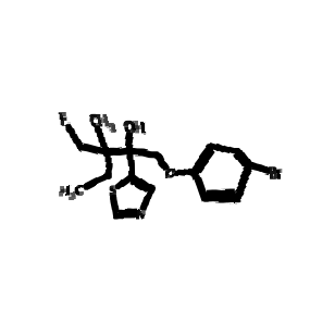 CCC(C)(CF)C(O)(COc1ccc(Br)cc1)c1cncs1